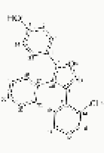 Oc1ccc(-c2onc(-c3ccccc3Cl)c2-c2ccccc2)cc1